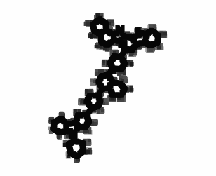 c1ccc(-n2c3ccccc3c3cc(-c4ccc(-c5ccc(-c6ccc(-c7cc8c9ccccc9sc8c8nc9c%10ccccc%10ccc9n78)cc6)c6ccccc56)cc4)ccc32)cc1